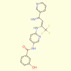 N=C(/C=C(\Nc1ccc(NC(=O)c2cccc(O)c2)cn1)C(F)(F)F)c1cccnc1